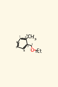 CCOCc1cc[c]cc1C